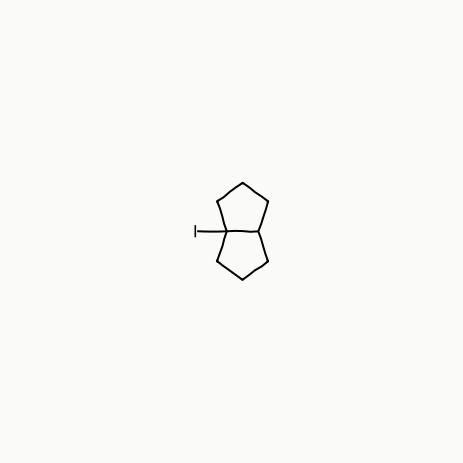 IC12CCCC1CCC2